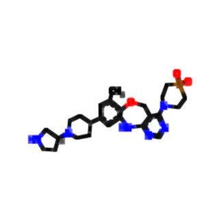 Cc1cc(C2CCN([C@H]3CCNC3)CC2)cc2c1OCc1c(ncnc1N1CCS(=O)(=O)CC1)N2